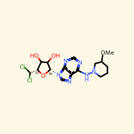 COC1CCCN(Nc2ncnc3c2ncn3[C@@H]2O[C@H](C(Cl)Cl)C(O)C2O)C1